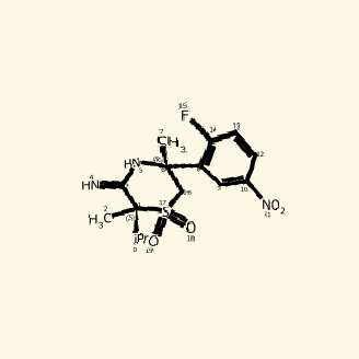 CC(C)[C@@]1(C)C(=N)N[C@](C)(c2cc([N+](=O)[O-])ccc2F)CS1(=O)=O